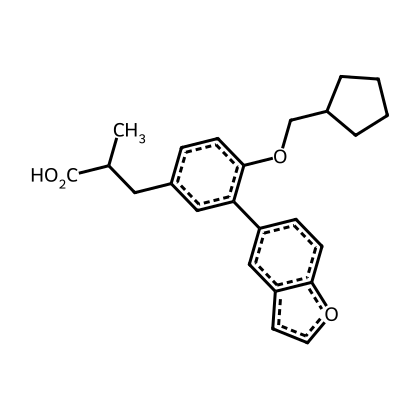 CC(Cc1ccc(OCC2CCCC2)c(-c2ccc3occc3c2)c1)C(=O)O